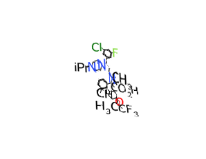 Cc1cccc([C@H](C(=O)O)N(C)CC[C@@H](c2cc(F)cc(Cl)c2)N2CCN(C(C)C)CC2)c1C1CCC(O[C@H](C)C(F)(F)F)CC1